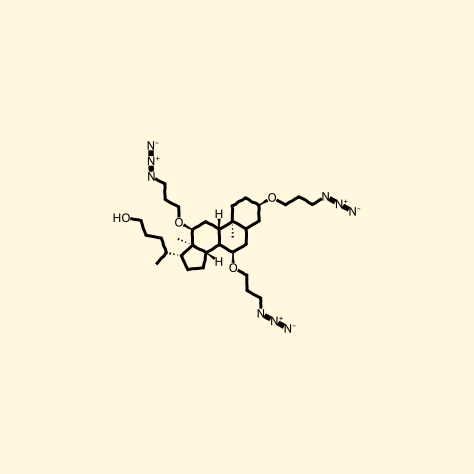 CC(CCCO)[C@H]1CC[C@H]2C3[C@H](OCCCN=[N+]=[N-])CC4C[C@H](OCCCN=[N+]=[N-])CC[C@]4(C)[C@H]3C[C@H](OCCCN=[N+]=[N-])[C@]12C